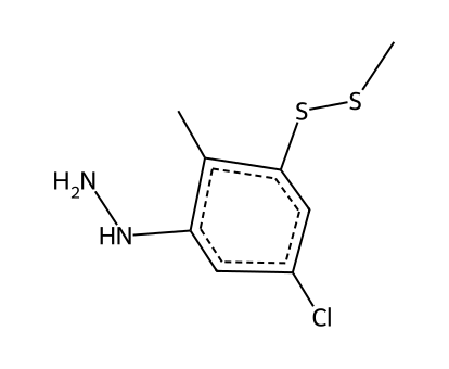 CSSc1cc(Cl)cc(NN)c1C